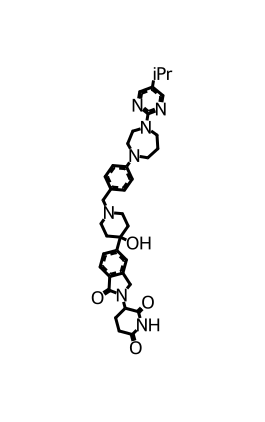 CC(C)c1cnc(N2CCCN(c3ccc(CN4CCC(O)(c5ccc6c(c5)CN(C5CCC(=O)NC5=O)C6=O)CC4)cc3)CC2)nc1